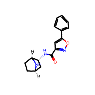 O=C(N[C@@H]1C[C@H]2CC[C@@H]1N2)c1cc(-c2ccccc2)on1